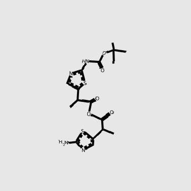 CC(C(=O)OC(=O)C(C)c1cnc(NC(=O)OC(C)(C)C)s1)c1cnc(N)s1